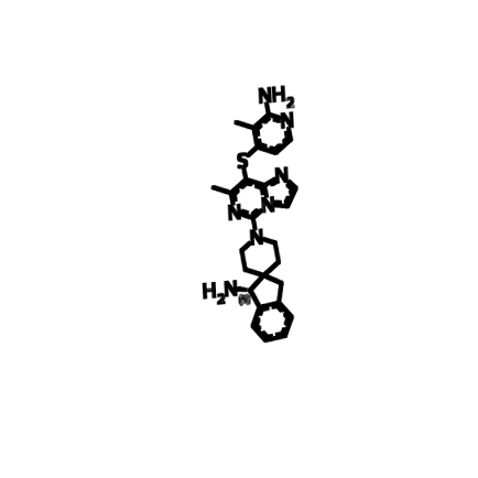 Cc1nc(N2CCC3(CC2)Cc2ccccc2[C@H]3N)n2ccnc2c1Sc1ccnc(N)c1C